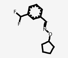 FC(F)c1cccc(/[C]=N/OC2CCCC2)c1